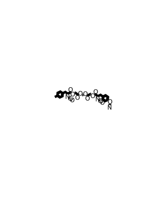 Cc1ccc(CC(N=C=O)C(=O)OCC(=O)OCOC(=O)COC(=O)C(Cc2ccc(OC#N)cc2)N=C=O)cc1